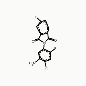 Nc1cc(N2C(=O)c3ccc(F)cc3C2=O)c(F)cc1Cl